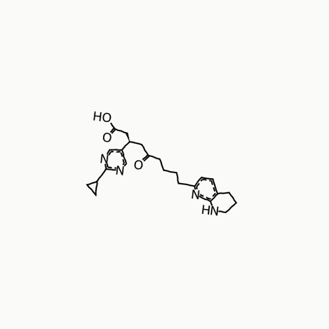 O=C(O)C[C@@H](CC(=O)CCCCc1ccc2c(n1)NCCC2)c1cnc(C2CC2)nc1